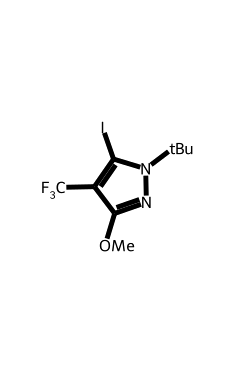 COc1nn(C(C)(C)C)c(I)c1C(F)(F)F